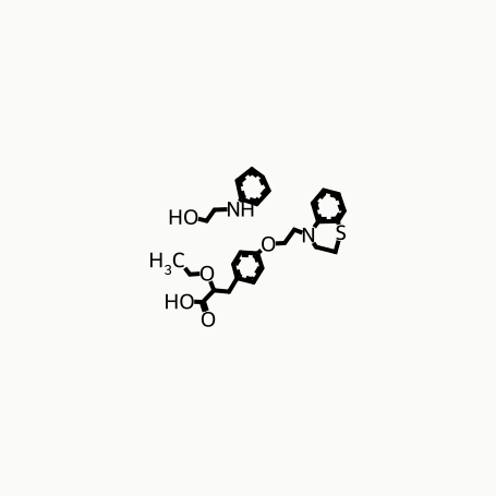 CCOC(Cc1ccc(OCCN2CCSc3ccccc32)cc1)C(=O)O.OCCNc1ccccc1